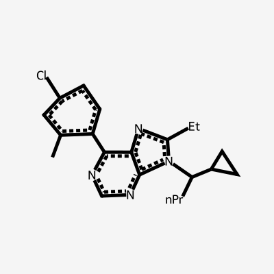 CCCC(C1CC1)n1c(CC)nc2c(-c3ccc(Cl)cc3C)ncnc21